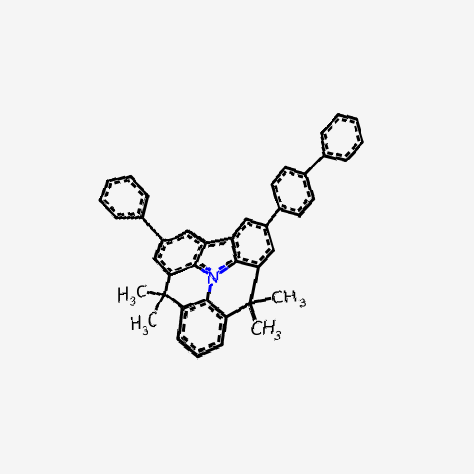 CC1(C)c2cccc3c2-n2c4c1cc(-c1ccccc1)cc4c1cc(-c4ccc(-c5ccccc5)cc4)cc(c12)C3(C)C